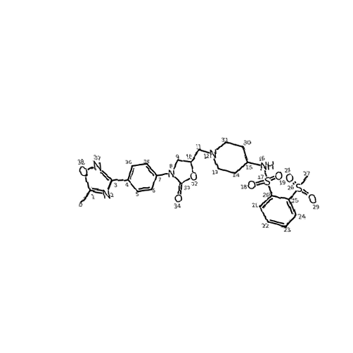 Cc1nc(-c2ccc(N3CC(CN4CCC(NS(=O)(=O)c5ccccc5S(C)(=O)=O)CC4)OC3=O)cc2)no1